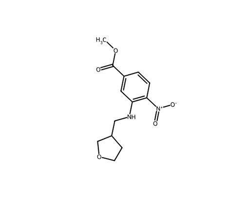 COC(=O)c1ccc([N+](=O)[O-])c(NCC2CCOC2)c1